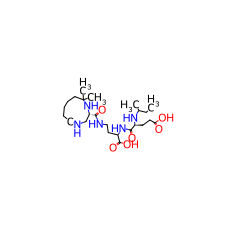 CCC(C)N[C@@H](CCC(=O)O)C(=O)NC(CCNC(=O)[C@@H]1CNCCCCCC(C)(C)N1)C(=O)O